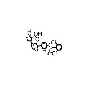 CC(Oc1ccc(C2CN(C3CCN[C@@H]3C(=O)O)CCO2)cc1)c1c(Cl)cccc1Cl